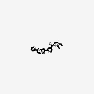 CCN(CC)[C@@H](C)CNC(=O)c1ccnc(-c2cc3nc(-c4cccs4)ccn3n2)c1